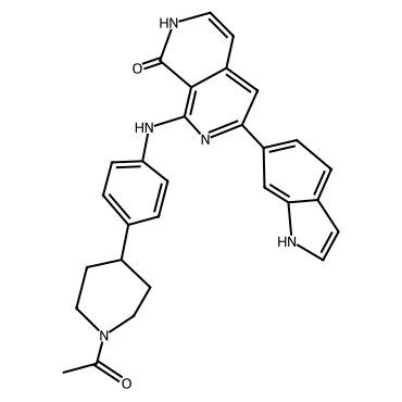 CC(=O)N1CCC(c2ccc(Nc3nc(-c4ccc5cc[nH]c5c4)cc4cc[nH]c(=O)c34)cc2)CC1